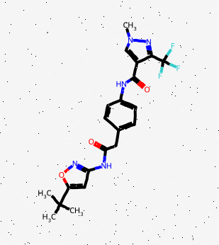 Cn1cc(C(=O)Nc2ccc(CC(=O)Nc3cc(C(C)(C)C)on3)cc2)c(C(F)(F)F)n1